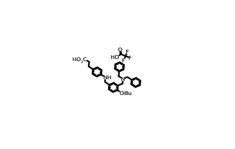 CC(C)COc1ccc(CNc2ccc(CCC(=O)O)cc2)cc1CN(Cc1ccccc1)Cc1ccccc1.O=C(O)C(F)(F)F